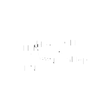 CCCCCCCC(C)(CCCCCC)N=C(N)N